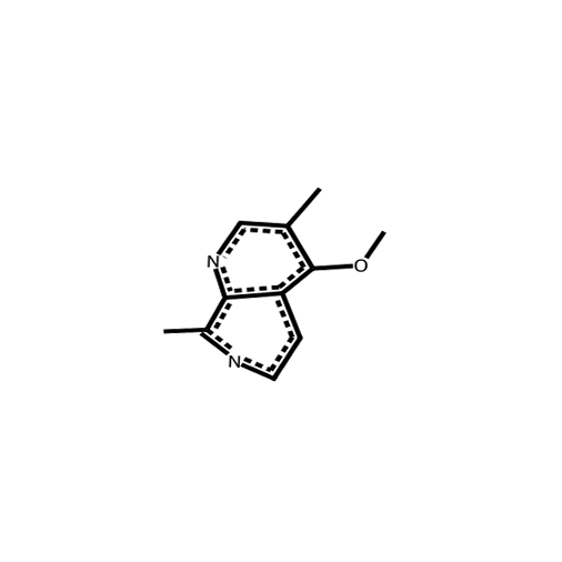 COc1c(C)cnc2c(C)nccc12